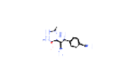 CNC(=O)c1c(C#N)c(-c2ccc(C#N)cc2)nn1C(C)C